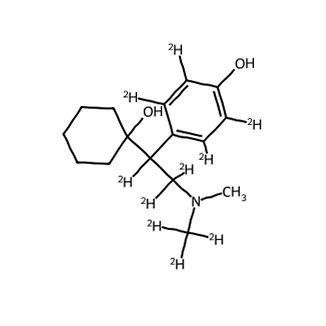 [2H]c1c([2H])c(C([2H])(C2(O)CCCCC2)C([2H])([2H])N(C)C([2H])([2H])[2H])c([2H])c([2H])c1O